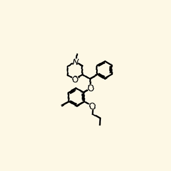 CCCOc1cc(C)ccc1OC(c1ccccc1)C1CN(C)CCO1